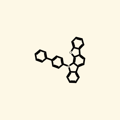 c1ccc(-c2ccc(-n3c4ccccc4c4ccc5c6ccccc6oc5c43)cc2)cc1